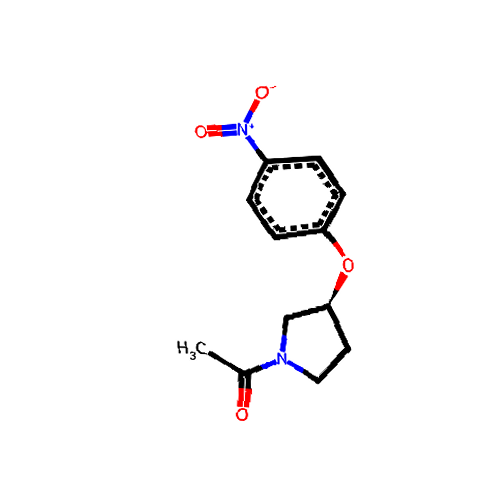 CC(=O)N1CC[C@H](Oc2ccc([N+](=O)[O-])cc2)C1